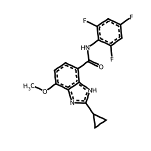 COc1ccc(C(=O)Nc2c(F)cc(F)cc2F)c2[nH]c(C3CC3)nc12